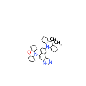 CC1(C)c2ccccc2N(c2ccc3c(N4c5ccccc5Oc5ccccc54)cc4ncncc4c3c2)c2ccccc21